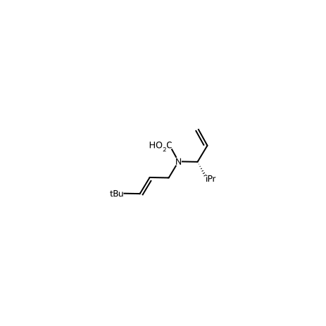 C=C[C@H](C(C)C)N(CC=CC(C)(C)C)C(=O)O